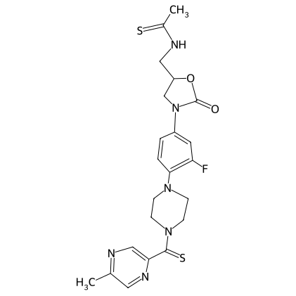 CC(=S)NCC1CN(c2ccc(N3CCN(C(=S)c4cnc(C)cn4)CC3)c(F)c2)C(=O)O1